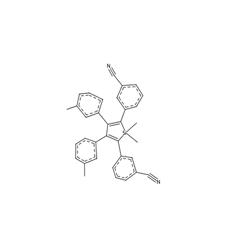 Cc1cccc(C2=C(c3cccc(C#N)c3)[Si](C)(C)C(c3cccc(C#N)c3)=C2c2cccc(C)c2)c1